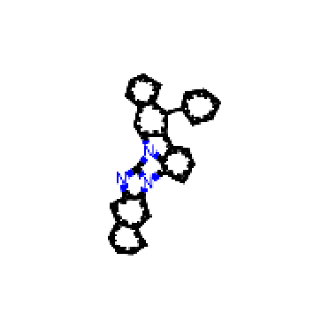 c1ccc(-c2c3ccccc3cc3c2c2cccc4c2n3c2nc3cc5ccccc5cc3n42)cc1